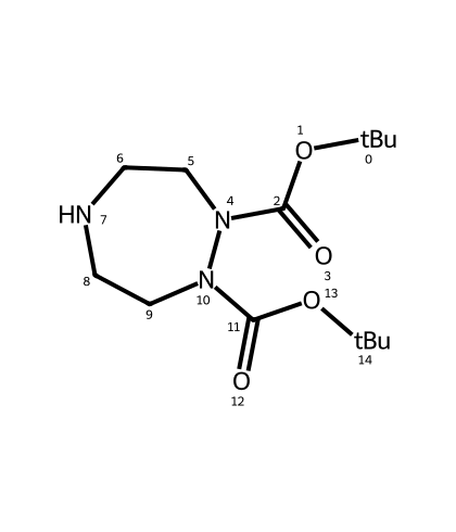 CC(C)(C)OC(=O)N1CCNCCN1C(=O)OC(C)(C)C